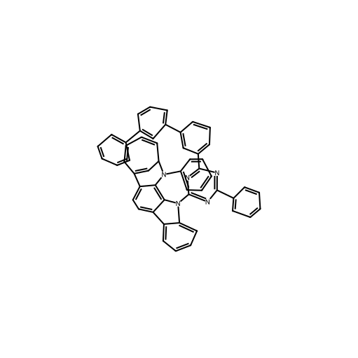 C1=CC2=CC(C=C1)N(c1ccccc1)c1c2ccc2c3ccccc3n(-c3nc(-c4ccccc4)nc(-c4cccc(-c5cccc(-c6ccccc6)c5)c4)n3)c12